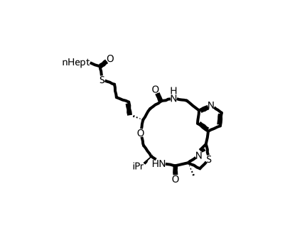 CCCCCCCC(=O)SCC/C=C/[C@@H]1CC(=O)NCc2cc(ccn2)C2=N[C@@](C)(CS2)C(=O)N[C@@H](C(C)C)CO1